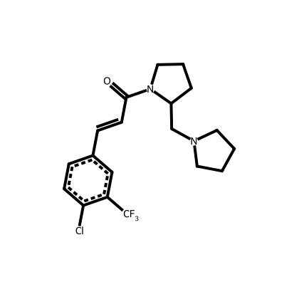 O=C(C=Cc1ccc(Cl)c(C(F)(F)F)c1)N1CCCC1CN1CCCC1